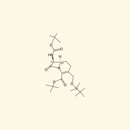 CC(C)(C)OC(=O)N[C@@H]1C(=O)N2C(C(=O)OC(C)(C)C)=C(CO[Si](C)(C)C(C)(C)C)CC[C@H]12